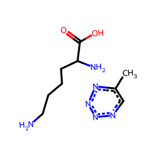 Cc1cnnnn1.NCCCCC(N)C(=O)O